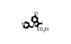 CCOC(=O)c1c(I)c2cc(Cl)ccc2n1Cc1ccncc1